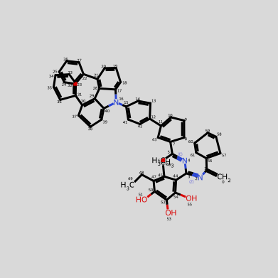 C=C(/N=C(\N=C(/C)c1cccc(-c2ccc(-n3c4cccc(-c5ccccc5)c4c4c(-c5ccccc5)cccc43)cc2)c1)c1c(C)c(CC)c(O)c(O)c1O)c1ccccc1